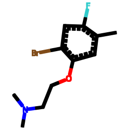 Cc1cc(OCCN(C)C)c(Br)cc1F